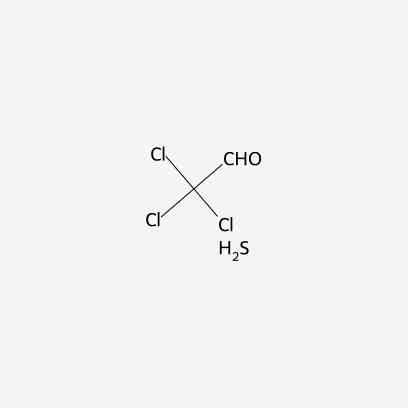 O=CC(Cl)(Cl)Cl.S